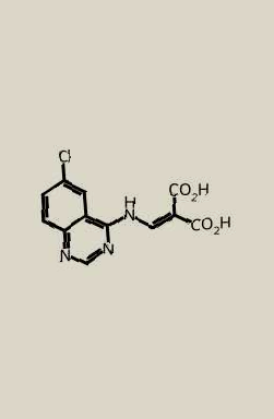 O=C(O)C(=CNc1ncnc2ccc(Cl)cc12)C(=O)O